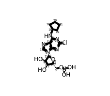 O[C@@H]1[C@H](O)[C@@H](CON(O)O)O[C@H]1n1cnc2c(NC3CCCC3)nc(Cl)nc21